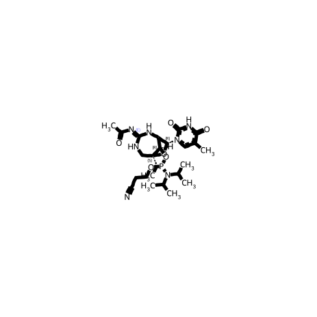 CC[C@@]12CN/C(=N\C(C)=O)NC([C@H](n3cc(C)c(=O)[nH]c3=O)O1)[C@H]2OP(OCCC#N)N(C(C)C)C(C)C